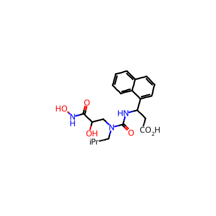 CC(C)CN(CC(O)C(=O)NO)C(=O)NC(CC(=O)O)c1cccc2ccccc12